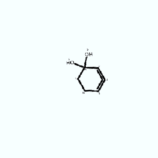 OC1(O)C=C=CCC1